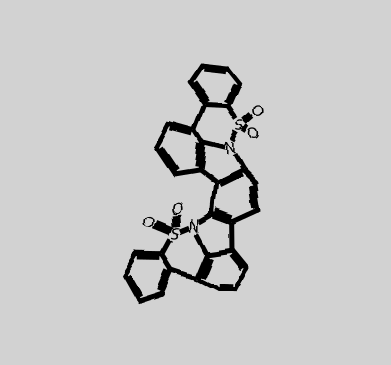 O=S1(=O)c2ccccc2-c2cccc3c4c(ccc5c6cccc7c6n(c54)S(=O)(=O)c4ccccc4-7)n1c23